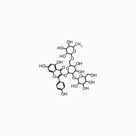 CC1OC(OCC2OC(Oc3c(-c4ccc(O)cc4)oc4cc(O)cc(O)c4c3=O)C(OC3OC(CO)C(O)C(O)C3O)C(O)C2O)C(O)C(O)C1O